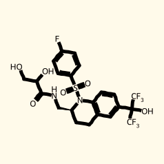 O=C(NC[C@@H]1CCc2cc(C(O)(C(F)(F)F)C(F)(F)F)ccc2N1S(=O)(=O)c1ccc(F)cc1)C(O)CO